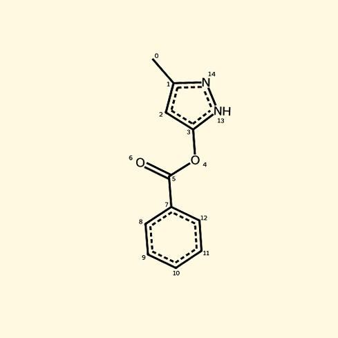 Cc1cc(OC(=O)c2ccccc2)[nH]n1